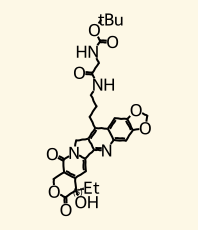 CC[C@@]1(O)C(=O)OCc2c1cc1n(c2=O)Cc2c-1nc1cc3c(cc1c2CCCNC(=O)CNC(=O)OC(C)(C)C)OCO3